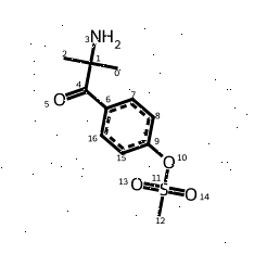 CC(C)(N)C(=O)c1ccc(OS(C)(=O)=O)cc1